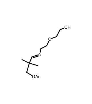 CC(=O)OCC(C)(C)C=NCCOCCO